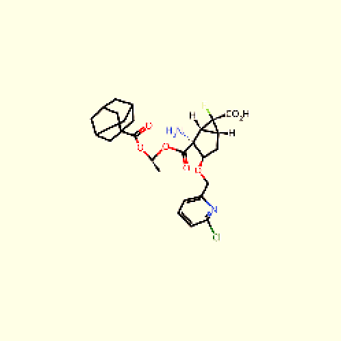 C[C@@H](OC(=O)C12CC3CC(CC(C3)C1)C2)OC(=O)[C@@]1(N)[C@H]2[C@@H](C[C@H]1OCc1cccc(Cl)n1)[C@]2(F)C(=O)O